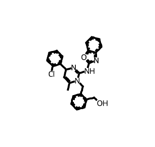 CC1=CC(c2ccccc2Cl)N=C(Nc2nc3ccccc3o2)N1Cc1ccccc1CO